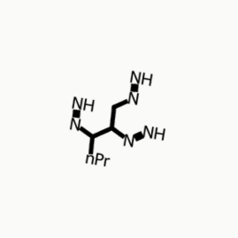 CCCC(N=N)C(CN=N)N=N